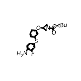 CC(C)(C)OC(=O)N1CC(Oc2cccc(Sc3ccc(N)c(F)c3)c2)C1